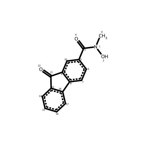 CN(O)C(=O)c1ccc2c(c1)C(=O)c1ccccc1-2